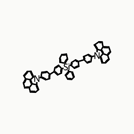 c1ccc([Si](c2ccccc2)(c2ccc(-c3ccc(-n4c5cccc6ccc7cccc4c7c65)cc3)cc2)c2ccc(-c3ccc(-n4c5cccc6ccc7cccc4c7c65)cc3)cc2)cc1